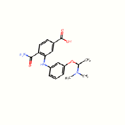 CC(Oc1cccc(Nc2cc(C(=O)O)ccc2C(N)=O)c1)N(C)C